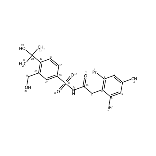 CC(C)c1cc(C#N)cc(C(C)C)c1CC(=O)NS(=O)(=O)c1ccc(C(C)(C)O)c(CO)c1